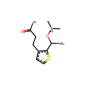 CC(C)C(=O)CCc1ccsc1C(O[SiH](C)C)C(C)(C)C